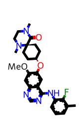 COc1cc2ncnc(Nc3cccc(C)c3F)c2cc1O[C@H]1CC[C@]2(CC1)C(=O)N(C)CCN2C